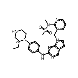 CC[C@H]1CNCCN1c1ccc(Nc2ncc3ccn(Cc4cccnc4N(C)S(C)(=O)=O)c3n2)cc1